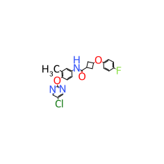 Cc1cc(NC(=O)C2CC(Oc3ccc(F)cc3)C2)ccc1Oc1ncc(Cl)cn1